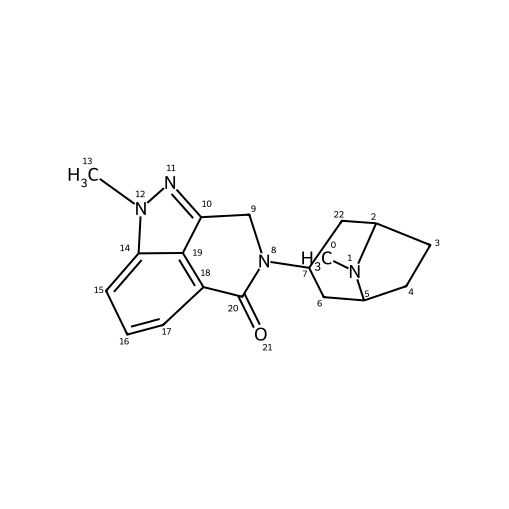 CN1C2CCC1CC(N1Cc3nn(C)c4cccc(c34)C1=O)C2